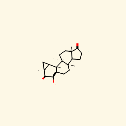 C[C@]12CC[C@H]3[C@@H](CCC4=C(O)C(=O)[C@H]5CC5[C@@]43C)[C@@H]1C[C@@H](F)C2=O